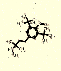 CNC(C)(C)CCc1cc(C(C)(C)C)c(N=O)c(C(C)(C)C)c1